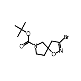 CC(C)(C)OC(=O)N1CCC2(CC(Br)=NO2)C1